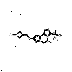 CC(=O)N1CC(COc2cc3n(n2)C[C@H](C)n2c-3cnc2[C@@](C)(O)C(F)(F)F)C1